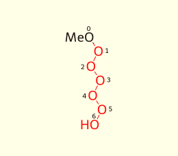 COOOOOOO